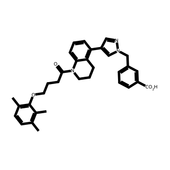 Cc1ccc(C)c(OCCCC(=O)N2CCCc3c(-c4cnn(Cc5cccc(C(=O)O)c5)c4)cccc32)c1C